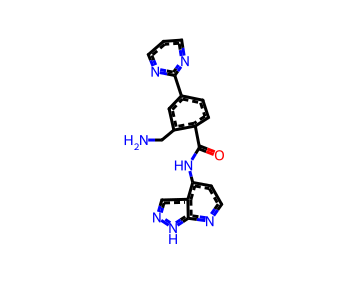 NCc1cc(-c2ncccn2)ccc1C(=O)Nc1ccnc2[nH]ncc12